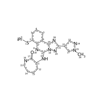 CC(C)Sc1cccc2c1nc(Nc1ccccnc1=O)n1nc(-c3cnn(C)c3)nc21